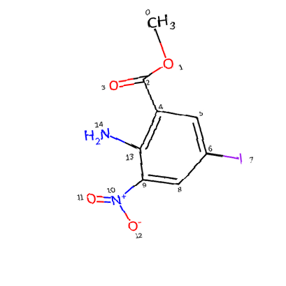 COC(=O)c1cc(I)cc([N+](=O)[O-])c1N